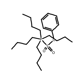 CCCCP(CCCC)(CCCC)(CCCC)S(=O)(=O)Oc1ccccc1